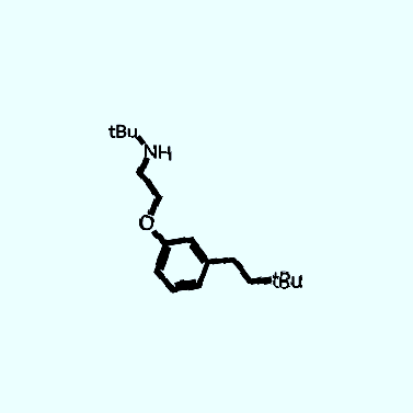 CC(C)(C)CCc1cccc(OCCNC(C)(C)C)c1